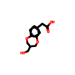 O=C(O)Cc1ccc2c(c1)OCC(CO)CO2